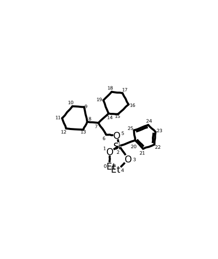 CCO[Si](OCC)(OCC(C1CCCCC1)C1CCCCC1)c1ccccc1